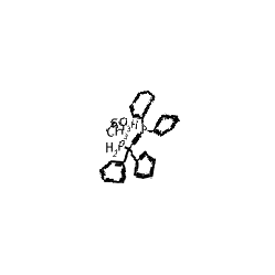 CS(=O)(=O)O.PC(C#CP(c1ccccc1)c1ccccc1)(c1ccccc1)c1ccccc1